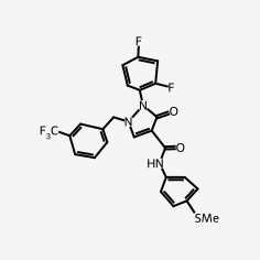 CSc1ccc(NC(=O)c2cn(Cc3cccc(C(F)(F)F)c3)n(-c3ccc(F)cc3F)c2=O)cc1